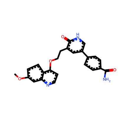 COc1ccc2c(OCCc3cc(-c4ccc(C(N)=O)cc4)c[nH]c3=O)ccnc2c1